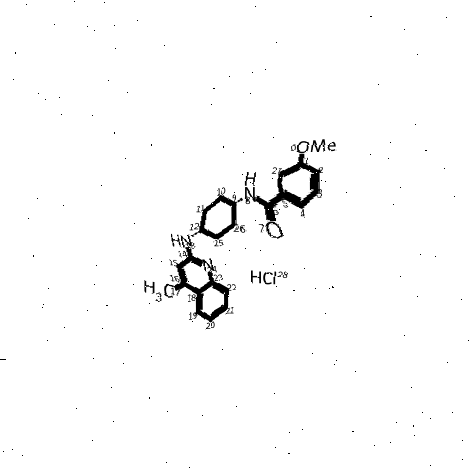 COc1cccc(C(=O)N[C@H]2CC[C@@H](Nc3cc(C)c4ccccc4n3)CC2)c1.Cl